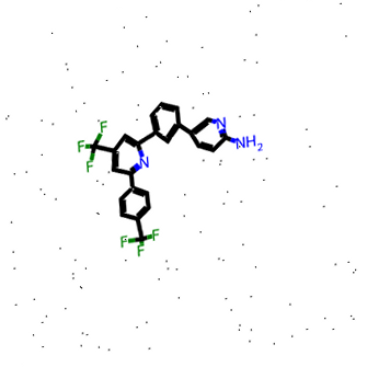 Nc1ccc(-c2cccc(-c3cc(C(F)(F)F)cc(-c4ccc(C(F)(F)F)cc4)n3)c2)cn1